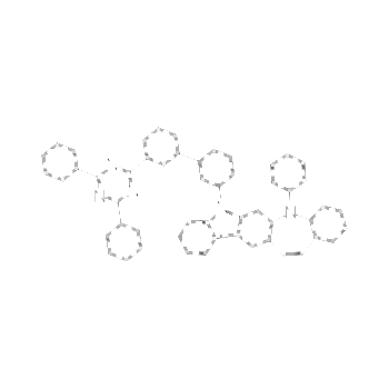 C1=Cc2cc3c4ccccc4n(-c4cccc(-c5cccc(-c6nc(-c7ccccc7)nc(-c7ccccc7)n6)c5)c4)c3cc2N(c2ccccc2)c2ccccc21